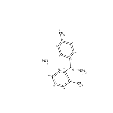 Cl.N[C@@H](c1ccc(C(F)(F)F)cc1)c1cnccc1C(F)(F)F